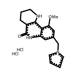 COc1cc(Cn2[c]cc[c]2)cc2[nH]c(=O)c3c(c12)NCCC3.Cl.Cl